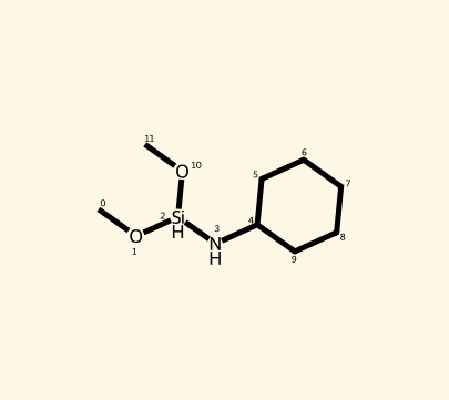 CO[SiH](NC1CCCCC1)OC